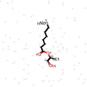 CCCCCCCCCCCCCCCC(=O)OC(CC)CO